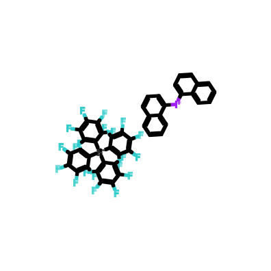 Fc1c(F)c(F)c([B-](c2c(F)c(F)c(F)c(F)c2F)(c2c(F)c(F)c(F)c(F)c2F)c2c(F)c(F)c(F)c(F)c2F)c(F)c1F.c1ccc2c([I+]c3cccc4ccccc34)cccc2c1